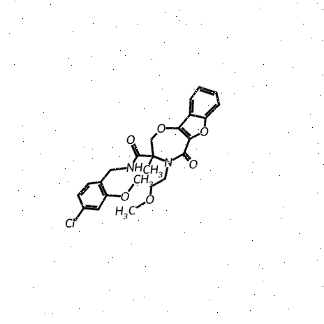 COCCN1C(=O)c2oc3ccccc3c2OCC1(C)C(=O)NCc1ccc(Cl)cc1OC